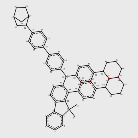 CC1(C)c2ccccc2-c2ccc(N(c3ccc(-c4ccc(C5CC6CCC5C6)cc4)cc3)c3ccc(C4CCCCC4)cc3)c(-c3ccc(C4CCCCC4)cc3)c21